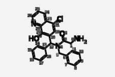 NCC(=O)N(Cc1ccccc1)C(c1ccccc1)c1cc(Cl)c2cccnc2c1O